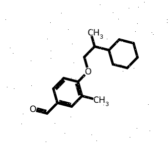 Cc1cc(C=O)ccc1OCC(C)C1CCCCC1